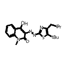 CC(C)Cc1nc(N=Nc2c(O)c3ccccc3n(C)c2=O)sc1C(C)(C)C